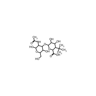 CC(=O)NC1C(O)OC(CO)C(O)C1OC1OC(C(=O)O)C(C(C)(C)C)C(O)C1O